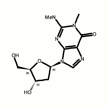 CNc1nc2c(ncn2[C@H]2C[C@H](O)[C@@H](CO)O2)c(=O)n1C